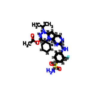 CC(=O)OC1=NN(C(C)C)c2cc3cnc(Nc4ccc(S(N)(=O)=O)cc4F)nc3n2C12CCCCC2